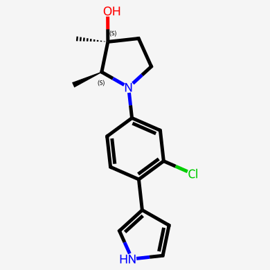 C[C@@H]1N(c2ccc(-c3cc[nH]c3)c(Cl)c2)CC[C@]1(C)O